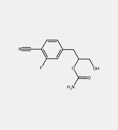 N#Cc1ccc(CC(CO)OC(N)=O)cc1F